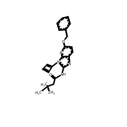 CC(C)(C)CC(=O)Nc1nc2ccc(OCc3ccccc3)nc2n1C1=CC=C1